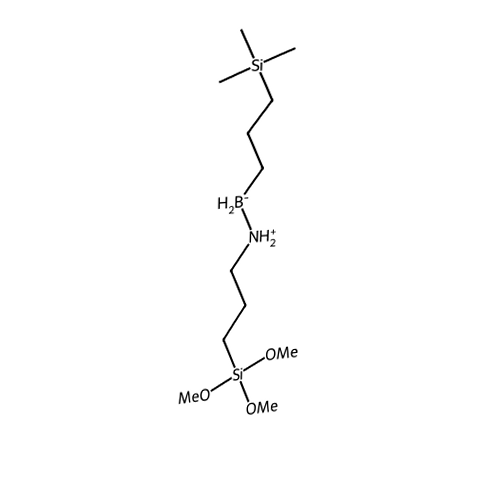 CO[Si](CCC[NH2+][BH2-]CCC[Si](C)(C)C)(OC)OC